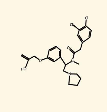 C=C(O)COc1cccc(C(CN2CCCC2)N(C)C(=O)Cc2ccc(Cl)c(Cl)c2)c1